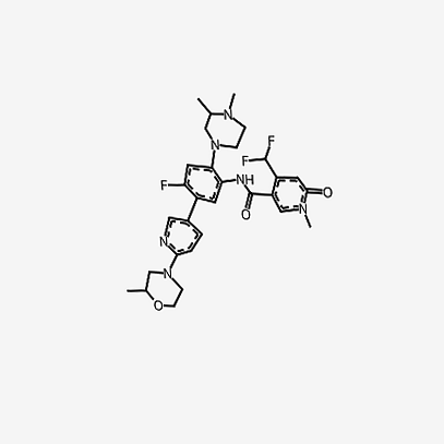 CC1CN(c2ccc(-c3cc(NC(=O)c4cn(C)c(=O)cc4C(F)F)c(N4CCN(C)C(C)C4)cc3F)cn2)CCO1